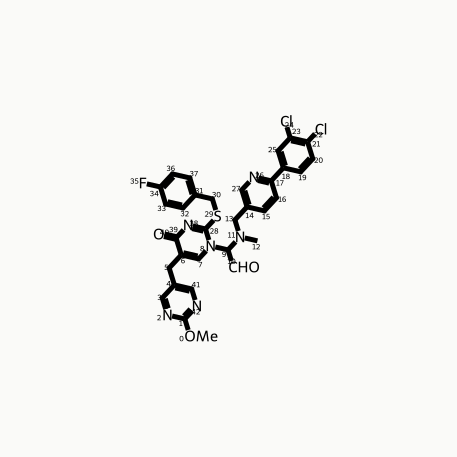 COc1ncc(Cc2cn(C(C=O)N(C)Cc3ccc(-c4ccc(Cl)c(Cl)c4)nc3)c(SCc3ccc(F)cc3)nc2=O)cn1